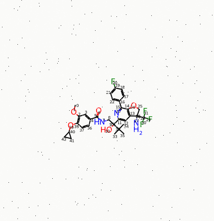 COc1cc(C(=O)NC[C@](O)(c2cc3c(c(-c4ccc(F)cc4)n2)OC[C@@]3(N)C(F)(F)F)C(C)(C)C)ccc1OC1CC1